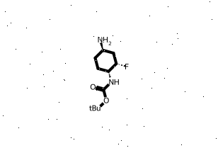 CC(C)(C)OC(=O)N[C@@H]1CC[C@@H](N)C[C@@H]1F